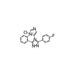 Fc1ccc(-c2nnc3n2C2=CN=C[N+]2(Cl)c2ccccc2-3)cc1